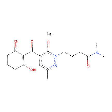 Cc1cc(C(=O)C2=C(O)CCCC2=O)c(=O)n(CCCC(=O)N(C)C)n1.[Na]